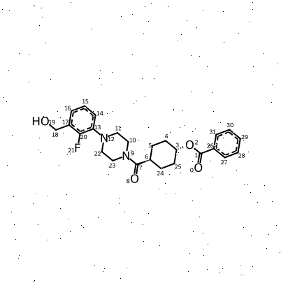 O=C(O[C@H]1CC[C@H](C(=O)N2CCN(c3cccc(CO)c3F)CC2)CC1)c1ccccc1